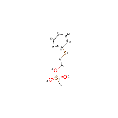 CS(=O)(=O)OCCSc1cc[c]cc1